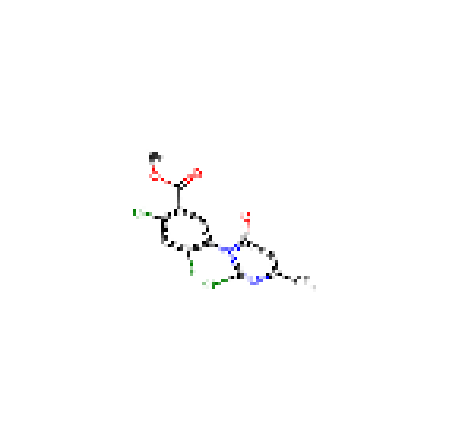 CC(C)OC(=O)c1cc(-n2c(Cl)nc(C(F)(F)F)cc2=O)c(F)cc1Cl